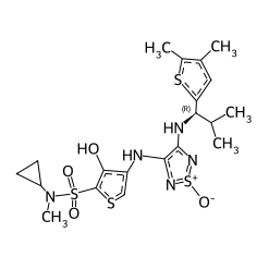 Cc1cc([C@H](Nc2n[s+]([O-])nc2Nc2csc(S(=O)(=O)N(C)C3CC3)c2O)C(C)C)sc1C